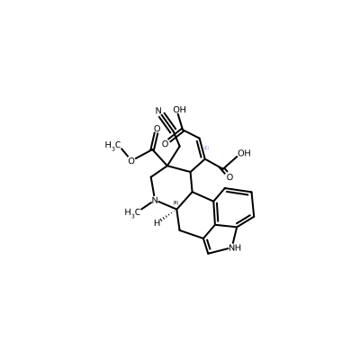 COC(=O)C1(CC#N)CN(C)[C@@H]2Cc3c[nH]c4cccc(c34)C2C1/C(=C\C(=O)O)C(=O)O